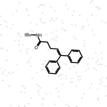 CC(C)(C)NC(=O)CCC=C(c1ccccc1)c1ccccc1